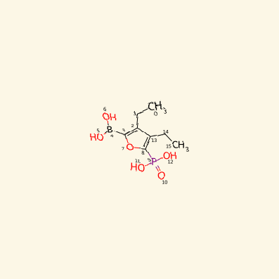 CCc1c(B(O)O)oc(P(=O)(O)O)c1CC